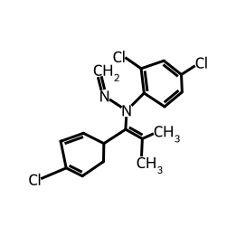 C=NN(C(=C(C)C)C1C=CC(Cl)=CC1)c1ccc(Cl)cc1Cl